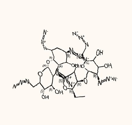 CC[C@H]1O[C@@H](O[C@@H]2C(O)[C@H](N=[N+]=[N-])CC(N=[N+]=[N-])[C@H]2O[C@H]2OC(CN=[N+]=[N-])[C@@H](O)[C@H](O)C2N=[N+]=[N-])C(O)[C@H]1OC1O[C@@H](CN=[N+]=[N-])C(O)C(O)[C@H]1N=[N+]=[N-]